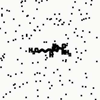 CCCCCNn1cc(C(N)=O)cn1